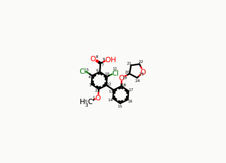 COc1cc(Cl)c(C(=O)O)c(Cl)c1-c1ccccc1OC1CCOC1